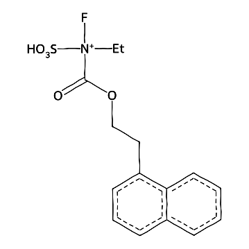 CC[N+](F)(C(=O)OCCc1cccc2ccccc12)S(=O)(=O)O